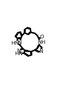 O=C1CCc2cccc(c2)-c2cccc3[nH]c(nc23)-c2n[nH]c3ccc(cc23)-c2cncc(c2)N1